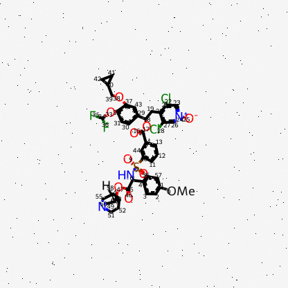 COc1ccc(C(NS(=O)(=O)c2cccc(C(=O)OC(Cc3c(Cl)c[n+]([O-])cc3Cl)c3ccc(OC(F)F)c(OCC4CC4)c3)c2)C(=O)O[C@H]2CN3CCC2CC3)cc1